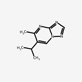 Cc1nc2ncnn2cc1C(C)C